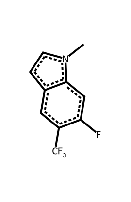 Cn1ccc2cc(C(F)(F)F)c(F)cc21